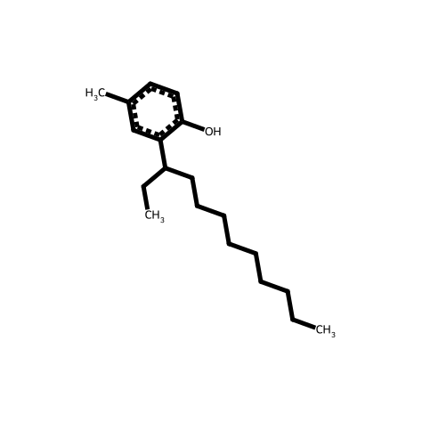 CCCCCCCCCC(CC)c1cc(C)ccc1O